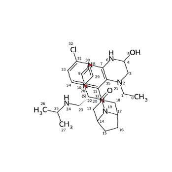 CCN1CC(O)Nc2ncnc(N3CC4CCC(C3)N4C(=O)[C@H](CNC(C)C)c3ccc(Cl)cc3)c21